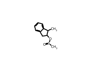 CC1c2ccccc2CC1OS(C)=O